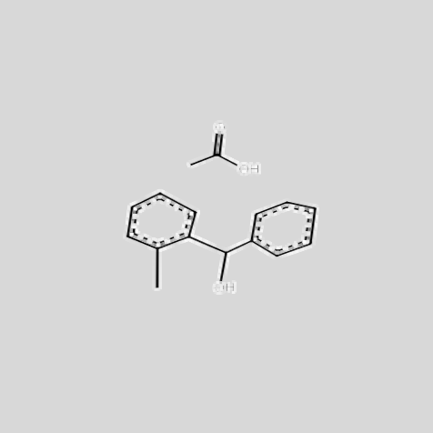 CC(=O)O.Cc1ccccc1C(O)c1ccccc1